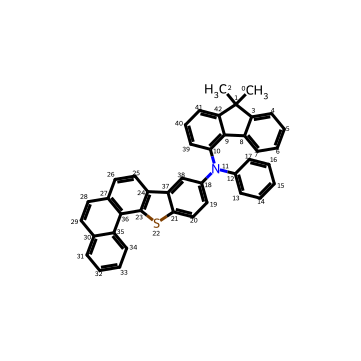 CC1(C)c2ccccc2-c2c(N(c3ccccc3)c3ccc4sc5c(ccc6ccc7ccccc7c65)c4c3)cccc21